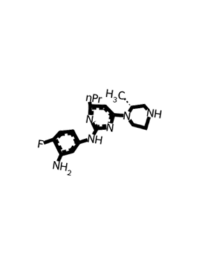 CCCc1cc(N2CCNC[C@H]2C)nc(Nc2ccc(F)c(N)c2)n1